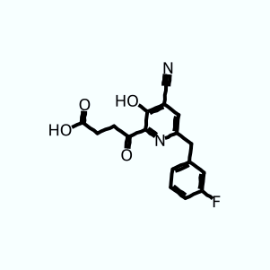 N#Cc1cc(Cc2cccc(F)c2)nc(C(=O)CCC(=O)O)c1O